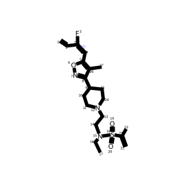 C=C/C(F)=C\c1onc(C2CCN(CCN(CC)S(=O)(=O)C(=C)C)CC2)c1C